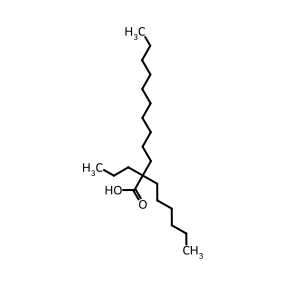 CCCCCCCCCCC(CCC)(CCCCCC)C(=O)O